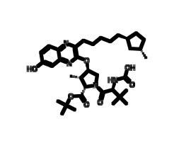 C[C@H]1CC[C@H](CCCCCc2nc3ccc(O)cc3nc2O[C@H]2CN(C(=O)[C@@H](NC(=O)O)C(C)(C)C)[C@H](C(=O)OC(C)(C)C)[C@@H]2C)C1